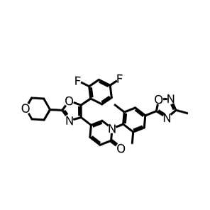 Cc1noc(-c2cc(C)c(-n3cc(-c4nc(C5CCOCC5)oc4-c4ccc(F)cc4F)ccc3=O)c(C)c2)n1